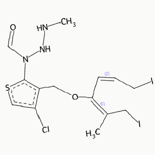 CNNN(C=O)c1scc(Cl)c1COC(/C=C\CI)=C(\C)CI